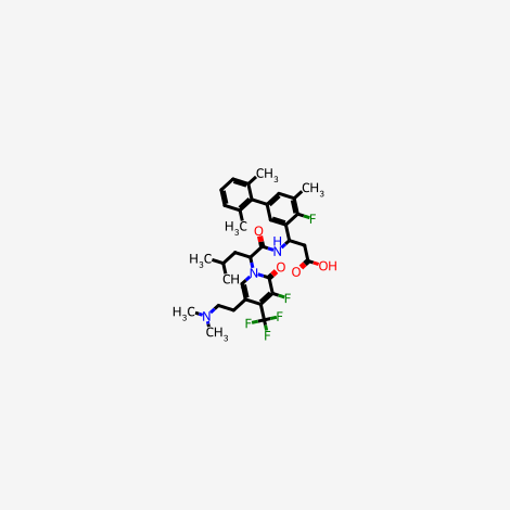 Cc1cc(-c2c(C)cccc2C)cc(C(CC(=O)O)NC(=O)C(CC(C)C)n2cc(CCN(C)C)c(C(F)(F)F)c(F)c2=O)c1F